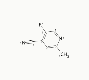 Cc1cc(C#N)c(F)cn1